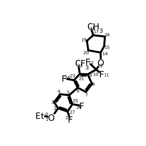 CCOc1ccc(-c2ccc(C(F)(F)OC3CCC(C)CC3)c(C(F)(F)F)c2F)c(F)c1F